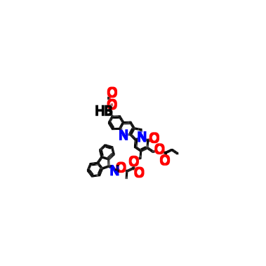 CCC(=O)OCc1c(COC(=O)C(C)ON=C2c3ccccc3-c3ccccc32)cc2n(c1=O)Cc1cc3cc(BOC=O)ccc3nc1-2